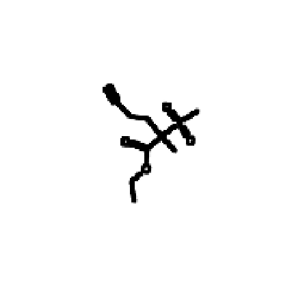 C#CCCC(C)(C(=O)OCC)S(C)(=O)=O